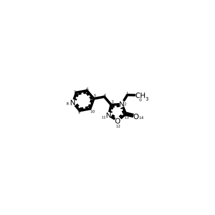 CCn1c(Cc2ccncc2)noc1=O